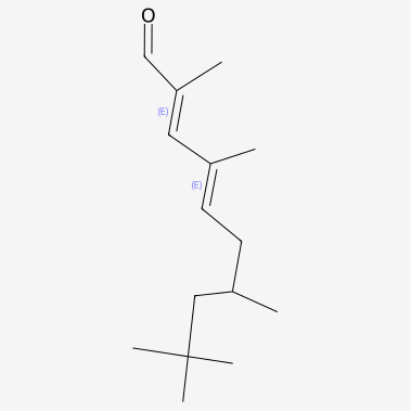 C/C(C=O)=C\C(C)=C\CC(C)CC(C)(C)C